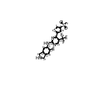 CS(=O)(=O)c1csc(-c2nc(Nc3cc4c(cc3F)CNC4)ncc2C(F)(F)F)c1